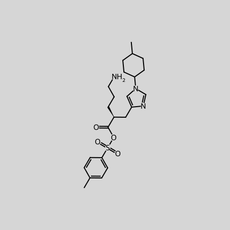 Cc1ccc(S(=O)(=O)OC(=O)[C@@H](CCCN)Cc2cn(C3CCC(C)CC3)cn2)cc1